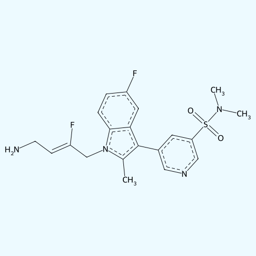 Cc1c(-c2cncc(S(=O)(=O)N(C)C)c2)c2cc(F)ccc2n1C/C(F)=C/CN